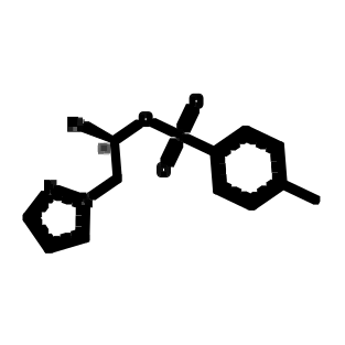 CC[C@H](Cn1cccn1)OS(=O)(=O)c1ccc(C)cc1